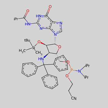 CC(C)C(=O)Nc1nc2c(ncn2[C@@H]2O[C@H](COP(OCCC#N)N(C(C)C)C(C)C)[C@@H](NC(c3ccccc3)(c3ccccc3)c3ccccc3)[C@H]2O[Si](C)(C)C(C)(C)C)c(=O)[nH]1